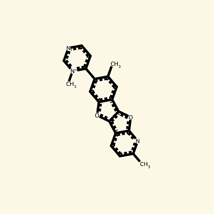 Cc1ccc2c(n1)oc1c3cc(C)c(-c4ccnc[n+]4C)cc3oc21